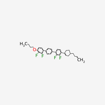 C=CCCC1CC=C(c2ccc(-c3ccc(-c4ccc(OCCCC)c(F)c4F)cc3)c(F)c2F)CC1